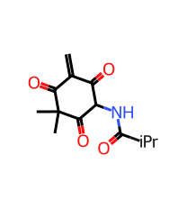 C=C1C(=O)C(NC(=O)C(C)C)C(=O)C(C)(C)C1=O